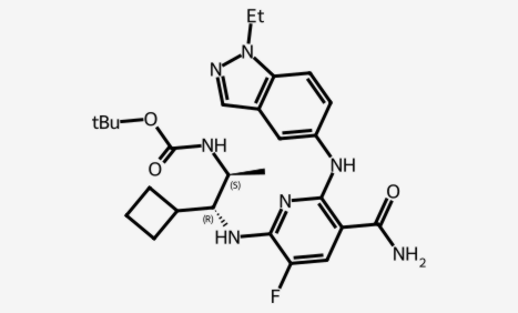 CCn1ncc2cc(Nc3nc(N[C@H](C4CCC4)[C@H](C)NC(=O)OC(C)(C)C)c(F)cc3C(N)=O)ccc21